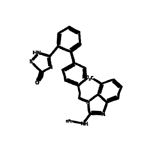 CCCNc1nc2cccc(C(=O)O)c2n1Cc1ccc(-c2ccccc2-c2nc(=O)s[nH]2)cc1